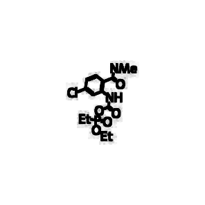 CCOP(=O)(CC)OC(=O)Nc1cc(Cl)ccc1C(=O)NC